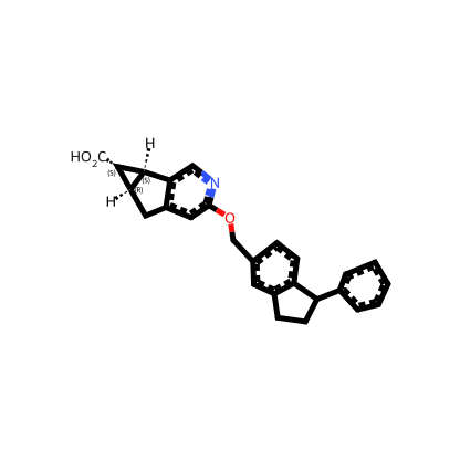 O=C(O)[C@H]1[C@@H]2Cc3cc(OCc4ccc5c(c4)CCC5c4ccccc4)ncc3[C@@H]21